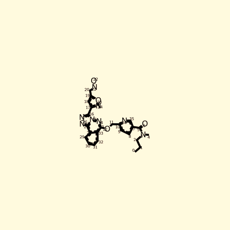 CCCN(C)C(=O)c1ccc(COc2nn3c(-c4cc(CN=O)on4)nnc3c3ccccc23)nc1